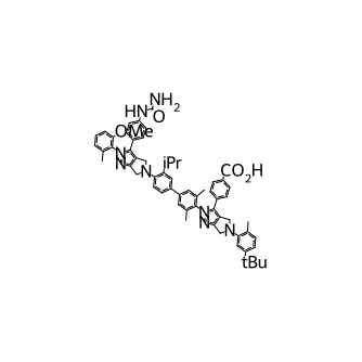 COc1cccc(C)c1-n1nc2c(c1-c1ccc(NC(N)=O)cc1)CN(c1ccc(-c3cc(C)c(-n4nc5c(c4-c4ccc(C(=O)O)cc4)CN(c4cc(C(C)(C)C)ccc4C)C5)c(C)c3)cc1C(C)C)C2